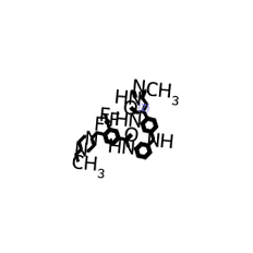 CCN1CCN(Cc2ccc(C(=O)Nc3cccc(Nc4ccc5c(c4)NC(=O)/C5=C\c4[nH]cnc4C)c3)cc2C(F)(F)F)CC1